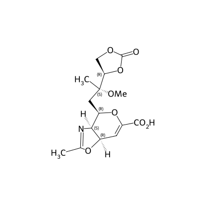 CO[C@@](C)(C[C@H]1OC(C(=O)O)=C[C@H]2OC(C)=N[C@H]21)[C@H]1COC(=O)O1